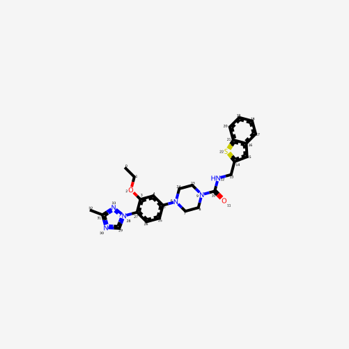 CCOc1cc(N2CCN(C(=O)NCc3cc4ccccc4s3)CC2)ccc1-n1cnc(C)n1